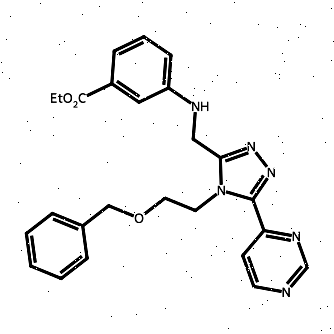 CCOC(=O)c1cccc(NCc2nnc(-c3ccncn3)n2CCOCc2ccccc2)c1